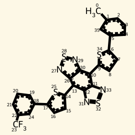 Cc1cccc(-c2ccc(-c3c4c(c(-c5ccc(-c6cccc(C(F)(F)F)c6)s5)c5nsnc35)N=S=N4)s2)c1